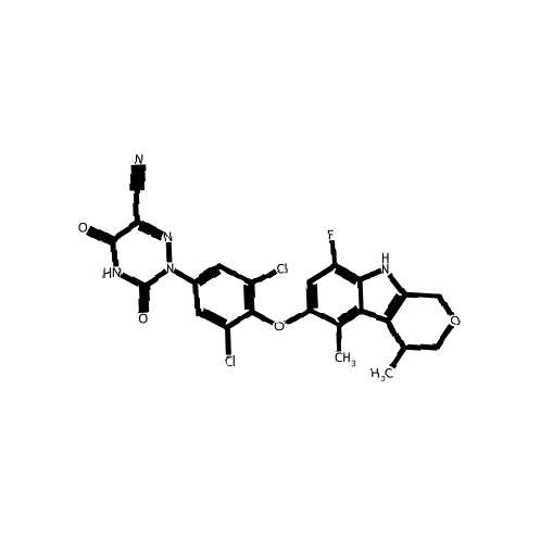 Cc1c(Oc2c(Cl)cc(-n3nc(C#N)c(=O)[nH]c3=O)cc2Cl)cc(F)c2[nH]c3c(c12)C(C)COC3